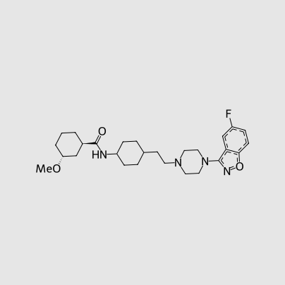 CO[C@@H]1CCC[C@@H](C(=O)NC2CCC(CCN3CCN(c4noc5ccc(F)cc45)CC3)CC2)C1